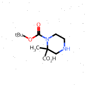 CC(C)(C)OC(=O)N1CCNCC1(C)C(=O)O